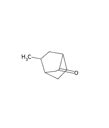 CC1CC2CCC1CC2=O